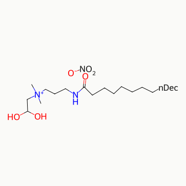 CCCCCCCCCCCCCCCCCC(=O)NCCC[N+](C)(C)CC(O)O.O=[N+]([O-])[O-]